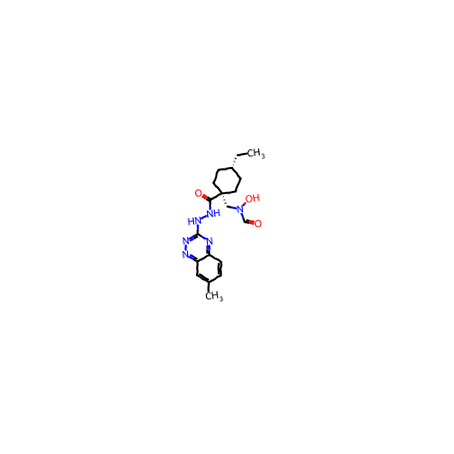 CC[C@H]1CC[C@](CN(O)C=O)(C(=O)NNc2nnc3cc(C)ccc3n2)CC1